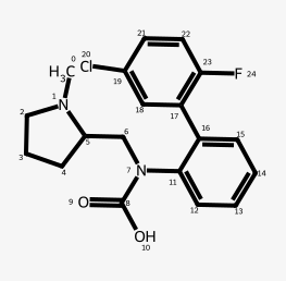 CN1CCCC1CN(C(=O)O)c1ccccc1-c1cc(Cl)ccc1F